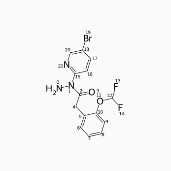 NN(C(=O)Cc1ccccc1OC(F)F)c1ccc(Br)cn1